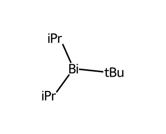 C[CH](C)[Bi]([CH](C)C)[C](C)(C)C